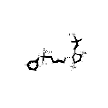 CC(C)([16OH])C=C[C@@H]1[C@@H](CC=C=CCC(Oc2ccccc2)(C(=O)O)C(F)(F)F)[C@@H]([16OH])C[C@H]1[16OH]